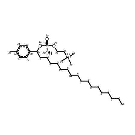 CCCCCCCCCCCCCCCCCC(OP(=O)(O)OCC[N+](C)(C)C)c1ccc(C)cc1